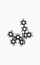 c1ccc(-c2ccc(-c3nc(-n4c5ccc6c(c7ccccc7n6-c6ccccc6)c5c5cccnc54)nc4ccccc34)cc2)cc1